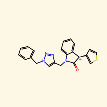 O=C1[C@H](c2ccsc2)c2ccccc2N1Cc1cn(Cc2ccccc2)nn1